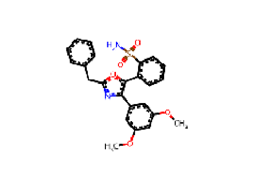 COc1cc(OC)cc(-c2nc(Cc3ccccc3)oc2-c2ccccc2S(N)(=O)=O)c1